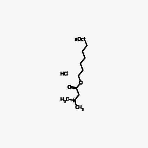 CCCCCCCCCCCCCCOC(=O)CN(C)C.Cl